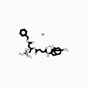 CC12CC3CC(C)(C1)CC(NC(=O)CCC(=O)OC(CC(=O)OCc1ccccc1)C[N+](C)(C)C)(C3)C2.[Br-]